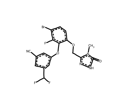 Cn1c(COc2ccc(Br)c(F)c2Oc2cc(C#N)cc(C(F)F)c2)n[nH]c1=O